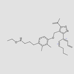 C=C/C=C(\C=C/CCC)c1nsc(C(=C)C)c1COc1ccc(CCCPOCC)c(C)c1C